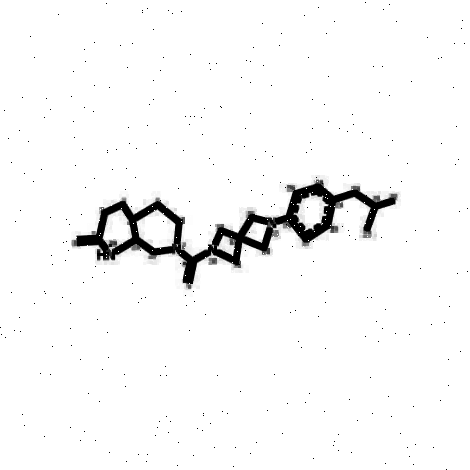 C=C1CCC2CCN(C(=C)N3CC4(C3)CN(c3ccc(CC(C)C)cc3)C4)CC2N1